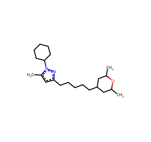 Cc1cc(CCCCCC2CC(C)OC(C)C2)nn1C1CCCCC1